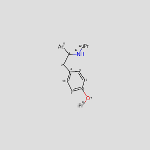 CC(=O)C(Cc1ccc(OC(C)C)cc1)NC(C)C